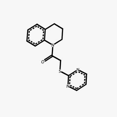 O=C(CSc1ncccn1)N1CCCc2ccccc21